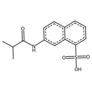 CC(C)C(=O)Nc1ccc2cccc(S(=O)(=O)O)c2c1